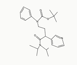 CC(C)N(C(=O)C(CCN(C(=O)OC(C)(C)C)c1ccccc1)c1cccnc1)C(C)C